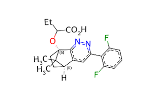 CCC(O[C@]12CC[C@H](c3cc(-c4c(F)cccc4F)nnc31)C2(C)C)C(=O)O